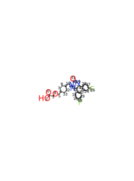 O=C(O)COC[C@H]1CC[C@@H](Cn2nc(-c3ccc(F)cc3)c(-c3ccc(F)cc3)nc2=O)CC1